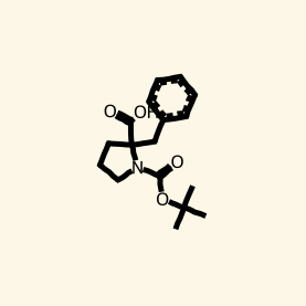 CC(C)(C)OC(=O)N1CCCC1(Cc1ccccc1)C(=O)O